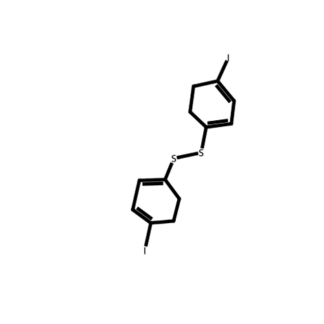 IC1=CC=C(SSC2=CC=C(I)CC2)CC1